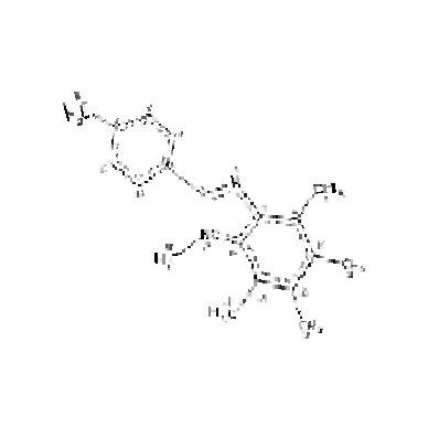 Cc1ccc(-c2nc3c(C)c(C)c(C)c(C)c3n2C)cc1